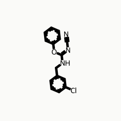 N#C/N=C(/NCc1cccc(Cl)c1)Oc1ccccc1